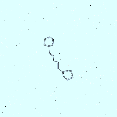 C(=Cc1ccccc1)CC=Cc1ccccc1